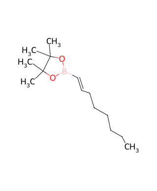 CCCCCCC=CB1OC(C)(C)C(C)(C)O1